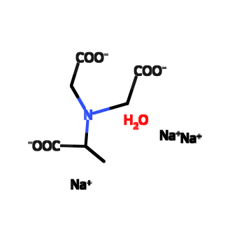 CC(C(=O)[O-])N(CC(=O)[O-])CC(=O)[O-].O.[Na+].[Na+].[Na+]